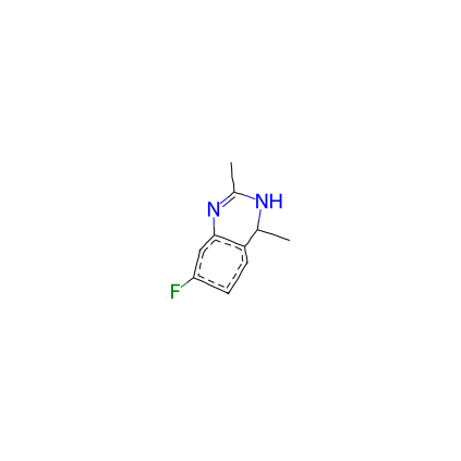 CC1=Nc2cc(F)ccc2C(C)N1